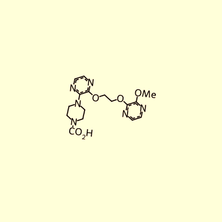 COc1nccnc1OCCOc1nccnc1N1CCN(C(=O)O)CC1